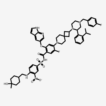 CC(C)c1ccccc1C1CN(Cc2ccc(F)cc2)CCN1C1CC2(CCN(c3cc(Oc4cnc5[nH]ccc5c4)c(C(=O)NS(=O)(=O)c4ccc(NCC5CCC(C)(O)CC5)c([N+](=O)[O-])c4)cc3F)CC2)C1